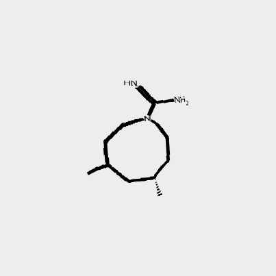 CC1CCN(C(=N)N)CC[C@H](C)C1